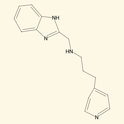 c1ccc2[nH]c(CNCCCc3ccncc3)nc2c1